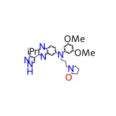 COc1cc(OC)cc(N(CCCN2CCCC2=O)c2ccc3ncc(-c4c[nH]nc4C(C)C)nc3c2)c1